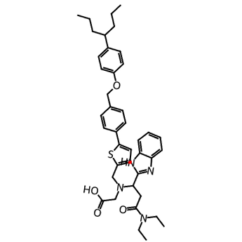 CCCC(CCC)c1ccc(OCc2ccc(-c3ccc(CN(CC(=O)O)C(CC(=O)N(CC)CC)c4nc5ccccc5[nH]4)s3)cc2)cc1